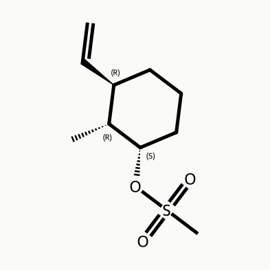 C=C[C@H]1CCC[C@H](OS(C)(=O)=O)[C@@H]1C